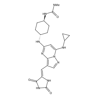 CNC(=O)N[C@H]1CC[C@H](Nc2cc(NC3CC3)n3ncc(/C=C4\NC(=O)NC4=O)c3n2)CC1